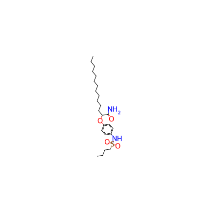 CCCCCCCCCCCCC(Oc1ccc(NS(=O)(=O)CCCC)cc1)C(N)=O